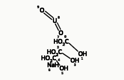 O=C(O)O.O=C(O)O.O=C(O)O.[NaH].[O]=[U]=[O]